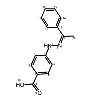 C/C(=N/Nc1ccc(C(=O)O)cc1)c1ccccc1